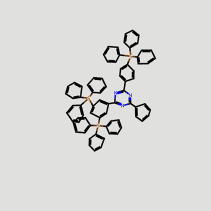 c1ccc(-c2nc(-c3ccc(S(c4ccccc4)(c4ccccc4)c4ccccc4)cc3)nc(-c3cc(S(c4ccccc4)(c4ccccc4)c4ccccc4)cc(S(c4ccccc4)(c4ccccc4)c4ccccc4)c3)n2)cc1